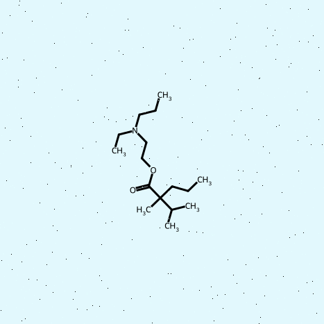 CCCN(CC)CCOC(=O)C(C)(CCC)C(C)C